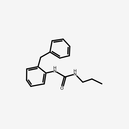 CCCNC(=O)Nc1ccccc1Cc1ccccc1